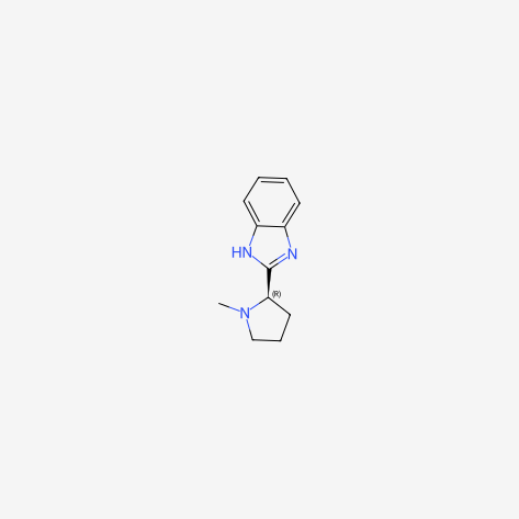 CN1CCC[C@@H]1c1nc2ccccc2[nH]1